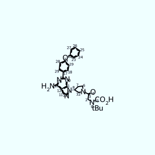 CC(C)(C)N(CC(=O)N1CC[C@@H](n2ncc3c(N)nc(-c4ccc(Oc5ccccc5)cc4)nc32)C1)C(=O)O